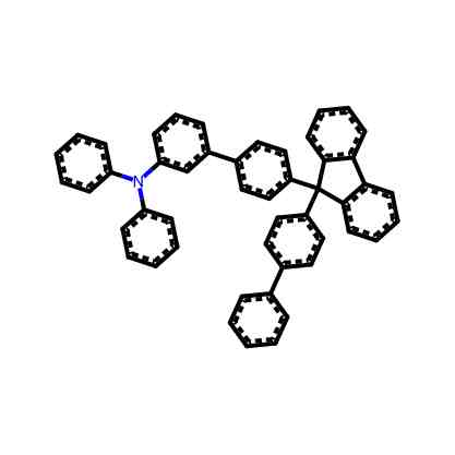 c1ccc(-c2ccc(C3(c4ccc(-c5cccc(N(c6ccccc6)c6ccccc6)c5)cc4)c4ccccc4-c4ccccc43)cc2)cc1